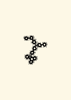 c1ccc(-c2ccc(N(c3ccc(-c4ccc(-n5c6ccccc6c6c7ccccc7c7ccccc7c65)cc4)cc3)c3ccc(-c4cccc(-c5ccccc5)c4)cc3)cc2)cc1